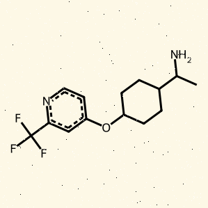 CC(N)C1CCC(Oc2ccnc(C(F)(F)F)c2)CC1